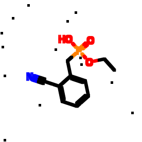 CCOP(=O)(O)Cc1ccccc1C#N